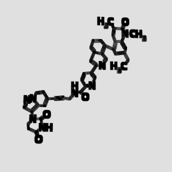 CCc1cc(-c2cccc3cc(-c4ccc(C(=O)NCC#Cc5ccn6ncc(N7CCC(=O)NC7=O)c6c5)nc4)ncc23)c2cc(C)c(=O)n(C)c2c1